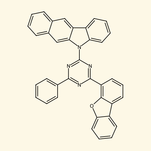 c1ccc(-c2nc(-c3cccc4c3oc3ccccc34)nc(-n3c4ccccc4c4cc5ccccc5cc43)n2)cc1